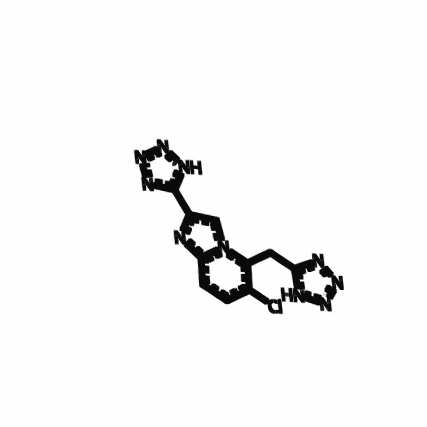 Clc1ccc2nc(-c3nnn[nH]3)cn2c1Cc1nnn[nH]1